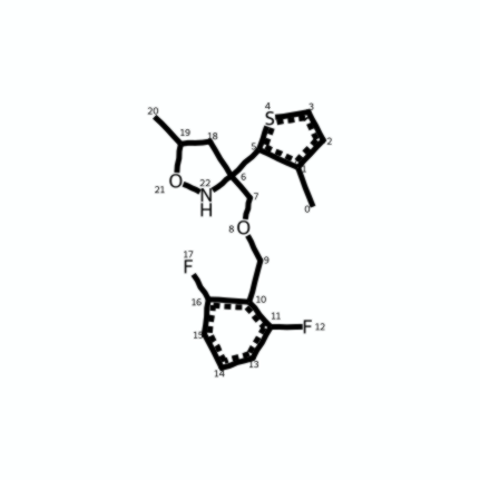 Cc1ccsc1C1(COCc2c(F)cccc2F)CC(C)ON1